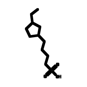 CCC1CCC(CCCCS(=O)(=O)O)C1